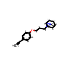 C#Cc1ccc(OCCCN2CC3CCC2CC3)cc1